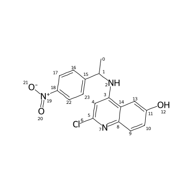 CC(Nc1cc(Cl)nc2ccc(O)cc12)c1ccc([N+](=O)[O-])cc1